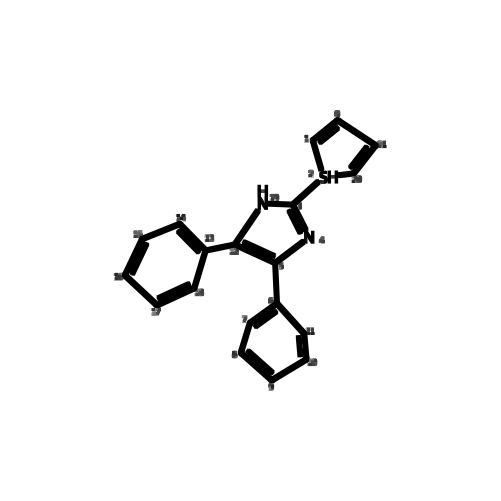 C1=C[SH](c2nc(-c3ccccc3)c(-c3ccccc3)[nH]2)C=C1